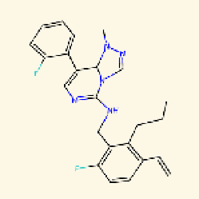 C=Cc1ccc(F)c(CNC2=NC=C(c3ccccc3F)C3N(C)N=CN23)c1CCC